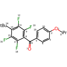 CC(C)Oc1ccc(C(=O)c2c(F)c(F)c(C(C)(C)C)c(F)c2F)cc1